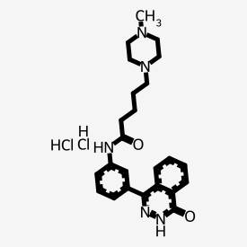 CN1CCN(CCCCC(=O)Nc2cccc(-c3n[nH]c(=O)c4ccccc34)c2)CC1.Cl.Cl